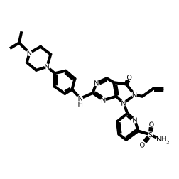 C=CCn1c(=O)c2cnc(Nc3ccc(N4CCN(C(C)C)CC4)cc3)nc2n1-c1cccc(S(N)(=O)=O)n1